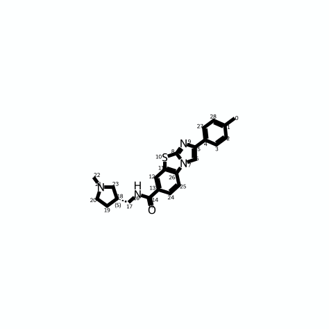 Cc1ccc(-c2cn3c(n2)sc2cc(C(=O)NC[C@@H]4CCN(C)C4)ccc23)cc1